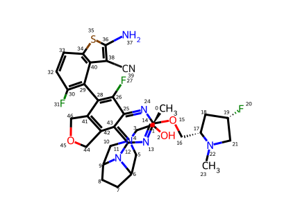 C[C@@H](O)CN1CC2CCC(C1)N2c1nc(OC[C@@H]2C[C@H](F)CN2C)nc2c(F)c(-c3c(F)ccc4sc(N)c(C#N)c34)c3c(c12)COC3